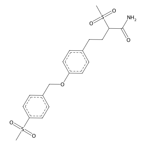 CS(=O)(=O)c1ccc(COc2ccc(CCC(C(N)=O)S(C)(=O)=O)cc2)cc1